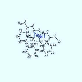 C=CCCCCCCCCC.c1ccc(-c2n[nH]c(-c3ccccc3)c2-c2ccccc2)cc1